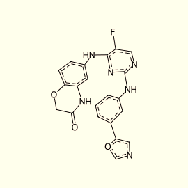 O=C1COc2ccc(Nc3nc(Nc4cccc(-c5cnco5)c4)ncc3F)cc2N1